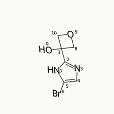 OC1(c2ncc(Br)[nH]2)COC1